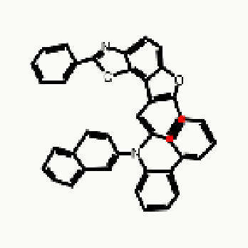 c1ccc(-c2nc3ccc4oc5ccc(N(c6ccc7ccccc7c6)c6ccccc6-c6ccccc6)cc5c4c3o2)cc1